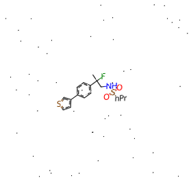 CCCS(=O)(=O)NCC(C)(F)c1ccc(-c2ccsc2)cc1